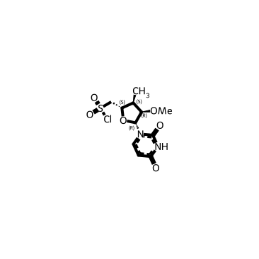 CO[C@@H]1[C@H](C)[C@@H](CS(=O)(=O)Cl)O[C@H]1n1ccc(=O)[nH]c1=O